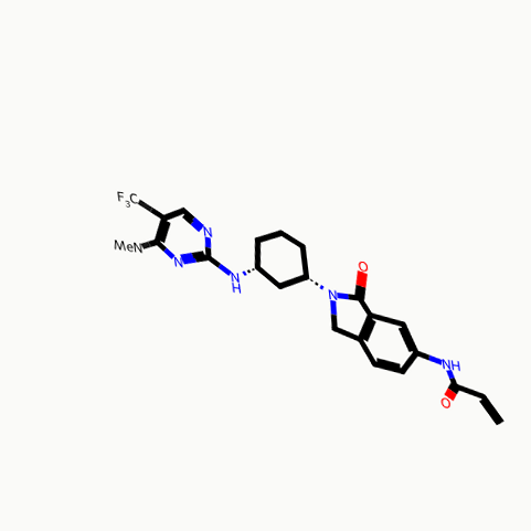 C=CC(=O)Nc1ccc2c(c1)C(=O)N([C@H]1CCC[C@@H](Nc3ncc(C(F)(F)F)c(NC)n3)C1)C2